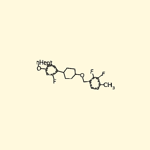 CCCCCCCOc1ccc(C2CCC(OCc3ccc(C)c(F)c3F)CC2)c(F)c1